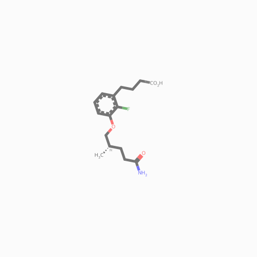 C[C@@H](CCC(N)=O)COc1cccc(CCCC(=O)O)c1F